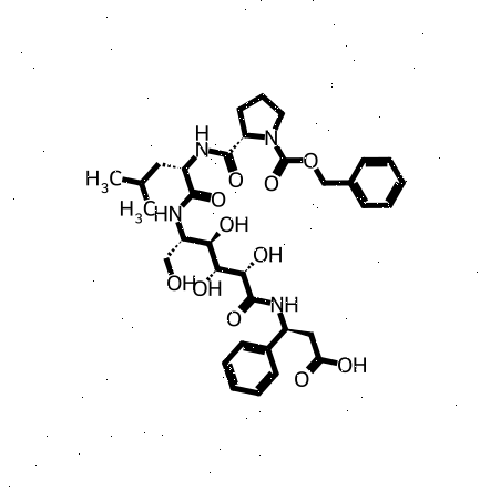 CC(C)C[C@H](NC(=O)[C@@H]1CCCN1C(=O)OCc1ccccc1)C(=O)N[C@@H](CO)[C@@H](O)[C@@H](O)[C@H](O)C(=O)N[C@@H](CC(=O)O)c1ccccc1